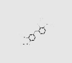 COc1cc(Cc2cccc(OC)c2N=C=O)ccc1N=C=O